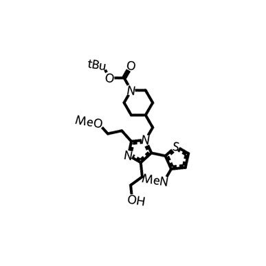 CNc1ccsc1-c1c(CCO)nc(CCOC)n1CC1CCN(C(=O)OC(C)(C)C)CC1